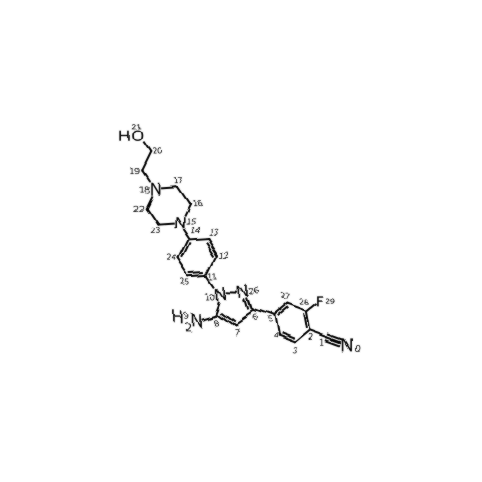 N#Cc1ccc(-c2cc(N)n(-c3ccc(N4CCN(CCO)CC4)cc3)n2)cc1F